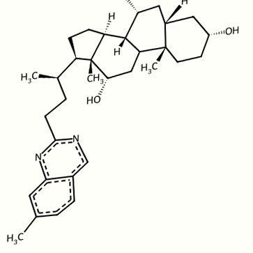 Cc1ccc2cnc(CC[C@@H](C)[C@H]3CC[C@H]4[C@H]5C(C[C@H](O)[C@]34C)[C@@]3(C)CC[C@@H](O)C[C@H]3C[C@H]5O)nc2c1